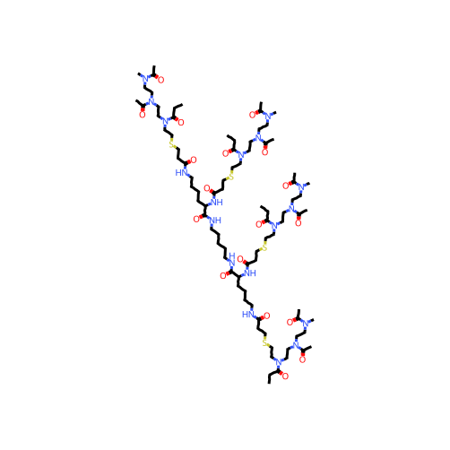 CCC(=O)N(CCSCCC(=O)NCCCCC(NC(=O)CCSCCN(CCN(CCN(C)C(C)=O)C(C)=O)C(=O)CC)C(=O)NCCCCCNC(=O)C(CCCCNC(=O)CCSCCN(CCN(CCN(C)C(C)=O)C(C)=O)C(=O)CC)NC(=O)CCSCCN(CCN(CCN(C)C(C)=O)C(C)=O)C(=O)CC)CCN(CCN(C)C(C)=O)C(C)=O